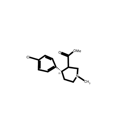 COC(=O)C1CN(C)CC[C@@H]1c1ccc(Cl)cc1